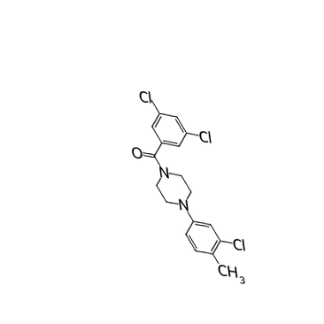 Cc1ccc(N2CCN(C(=O)c3cc(Cl)cc(Cl)c3)CC2)cc1Cl